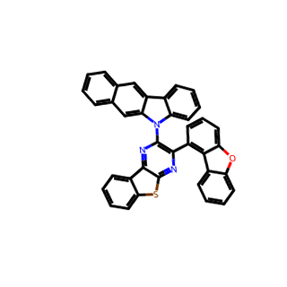 c1ccc2cc3c(cc2c1)c1ccccc1n3-c1nc2c(nc1-c1cccc3oc4ccccc4c13)sc1ccccc12